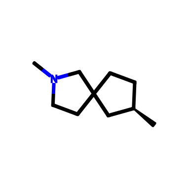 C[C@@H]1CCC2(CCN(C)C2)C1